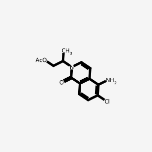 CC(=O)OCC(C)n1ccc2c(N)c(Cl)ccc2c1=O